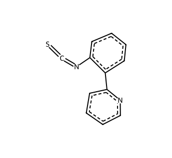 S=C=Nc1ccccc1-c1ccccn1